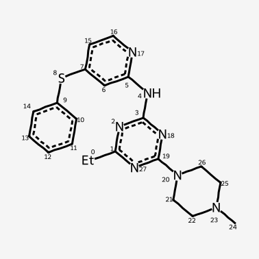 CCc1nc(Nc2cc(Sc3ccccc3)ccn2)nc(N2CCN(C)CC2)n1